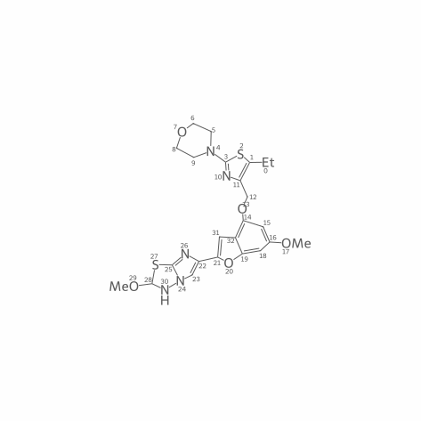 CCc1sc(N2CCOCC2)nc1COc1cc(OC)cc2oc(-c3cn4c(n3)SC(OC)N4)cc12